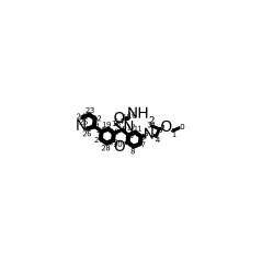 CCOC1CN(c2ccc3c(c2)[C@]2(COC(N)=N2)c2cc(-c4cccnc4)ccc2O3)C1